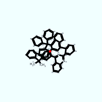 CC1(C)c2ccccc2-c2ccc(-c3nc(-c4ccccc4-c4cc5c(c6ccccc46)C(c4ccccc4)(c4ccccc4)c4ccccc4-5)nc4ccccc34)cc21